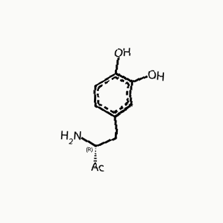 CC(=O)[C@H](N)Cc1ccc(O)c(O)c1